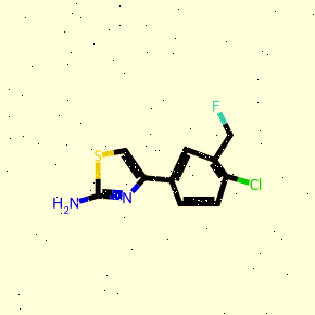 Nc1nc(-c2ccc(Cl)c(CF)c2)cs1